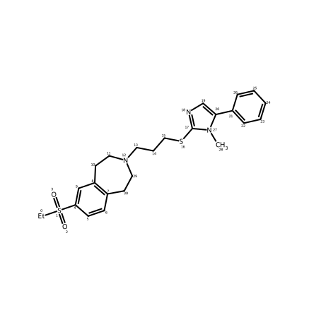 CCS(=O)(=O)c1ccc2c(c1)CCN(CCCSc1ncc(-c3ccccc3)n1C)CC2